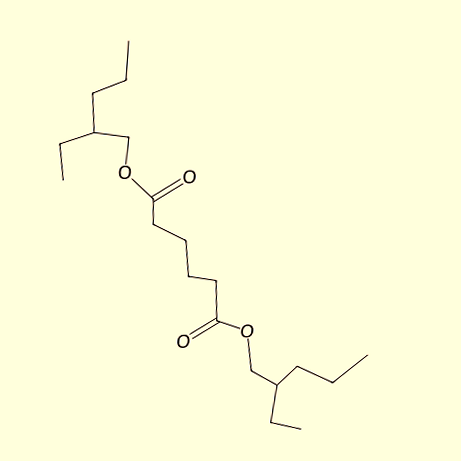 CCCC(CC)COC(=O)CCCCC(=O)OCC(CC)CCC